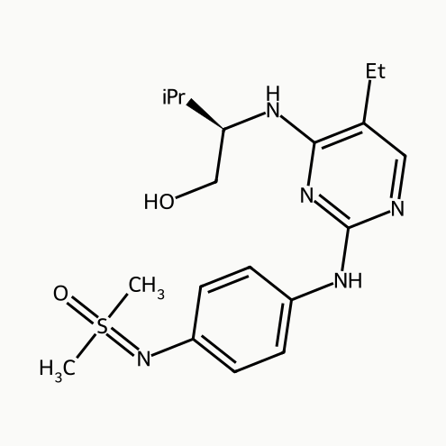 CCc1cnc(Nc2ccc(N=S(C)(C)=O)cc2)nc1N[C@@H](CO)C(C)C